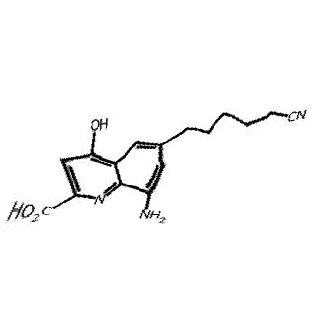 N#CCCCCCc1cc(N)c2nc(C(=O)O)cc(O)c2c1